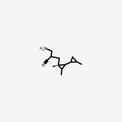 CC1CC1C1C(C)[C@]1(C)CC(C#N)CN